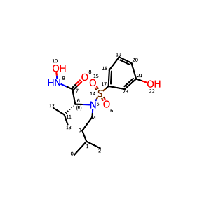 CC(C)CCN([C@@H](C(=O)NO)C(C)C)S(=O)(=O)c1cccc(O)c1